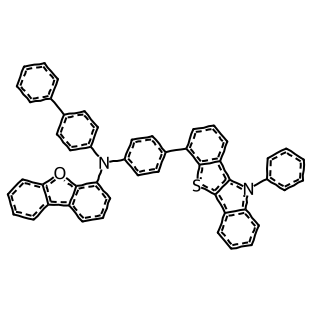 c1ccc(-c2ccc(N(c3ccc(-c4cccc5c4sc4c6ccccc6n(-c6ccccc6)c54)cc3)c3cccc4c3oc3ccccc34)cc2)cc1